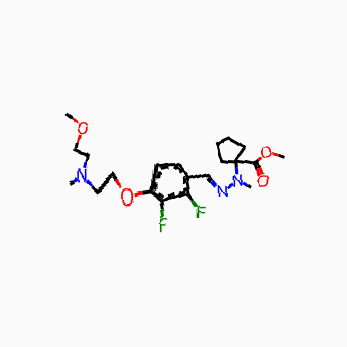 COCCN(C)CCOc1ccc(/C=N/N(C)C2(C(=O)OC)CCCC2)c(F)c1F